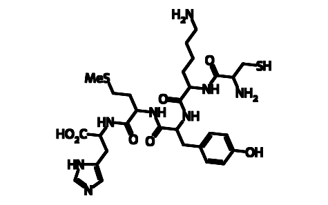 CSCCC(NC(=O)C(Cc1ccc(O)cc1)NC(=O)C(CCCCN)NC(=O)C(N)CS)C(=O)NC(Cc1cnc[nH]1)C(=O)O